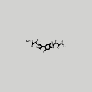 CCNC(=O)Nc1nc2cc(-c3cnn(C(C)C(=O)OC)c3)c(F)cc2s1